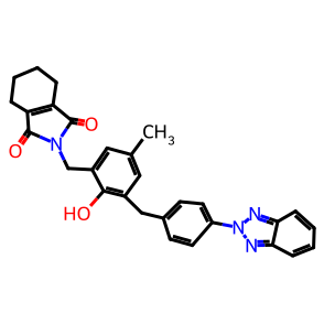 Cc1cc(Cc2ccc(-n3nc4ccccc4n3)cc2)c(O)c(CN2C(=O)C3=C(CCCC3)C2=O)c1